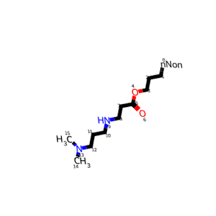 CCCCCCCCCCCCOC(=O)CCNCCCN(C)C